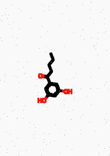 CCCCC(=O)c1cc(O)cc(O)c1